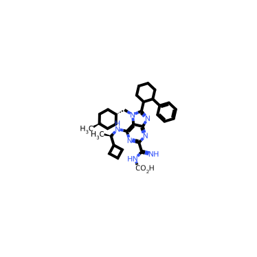 C[C@@H](Nc1nc(C(=N)NC(=O)O)nc2nc(C3CCCCC3c3ccccc3)n(C[C@H]3CC[C@H](C)CC3)c12)C1CCC1